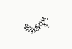 COc1cc(N2CCC3(CCN(C(=O)c4ccc5c(cnn5C)c4)CC3)C2=O)ccc1-c1cn[nH]c1